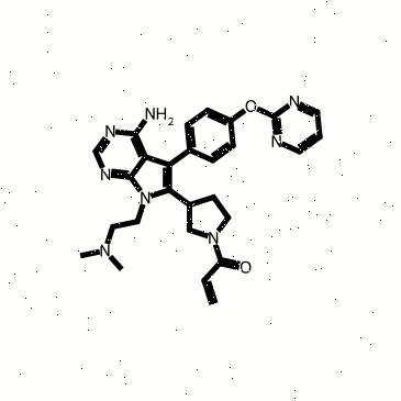 C=CC(=O)N1CCC(c2c(-c3ccc(Oc4ncccn4)cc3)c3c(N)ncnc3n2CCN(C)C)C1